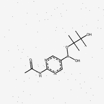 CC(=O)Nc1ncc(B(O)OC(C)(C)C(C)(C)O)cn1